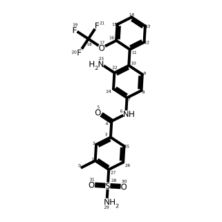 Cc1cc(C(=O)Nc2ccc(-c3ccccc3OC(F)(F)F)c(N)c2)ccc1S(N)(=O)=O